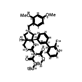 COc1ccc(CN2C[C@H]3CSC(N(C(=O)OC(C)(C)C)C(=O)OC(C)(C)C)=N[C@@]3(c3cccc(-c4cccnc4F)c3)C2)c(OC)c1